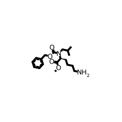 COC(=O)[C@H](CCCCN)N(CC(C)C)C(=O)OCc1ccccc1